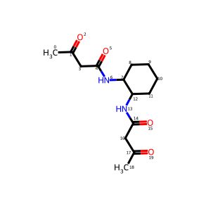 CC(=O)CC(=O)NC1CCCCC1NC(=O)CC(C)=O